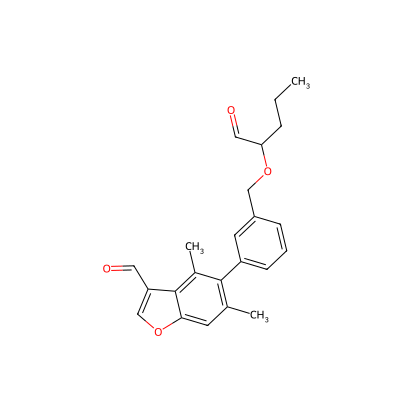 CCCC(C=O)OCc1cccc(-c2c(C)cc3occ(C=O)c3c2C)c1